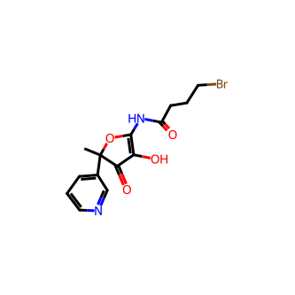 CC1(c2cccnc2)OC(NC(=O)CCCBr)=C(O)C1=O